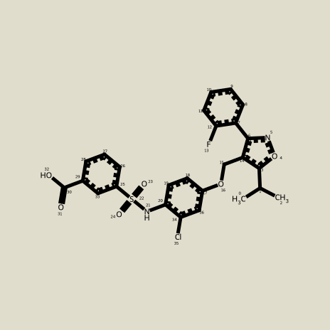 CC(C)c1onc(-c2ccccc2F)c1COc1ccc(NS(=O)(=O)c2cccc(C(=O)O)c2)c(Cl)c1